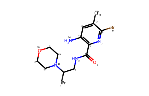 CC(C)C(CNC(=O)c1nc(Br)c(C(F)(F)F)cc1N)N1CCOCC1